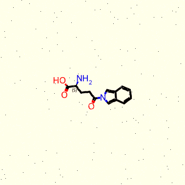 N[C@@H](CCC(=O)n1cc2ccccc2c1)C(=O)O